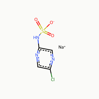 O=S(=O)([O-])Nc1cnc(Cl)cn1.[Na+]